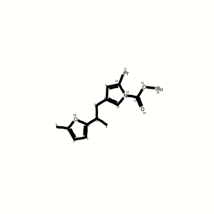 Cc1ccc(C(C)Cc2cc(C(C)C)n(C(=O)OC(C)(C)C)c2)o1